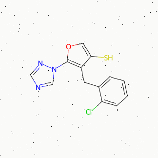 Sc1coc(-n2cncn2)c1Cc1ccccc1Cl